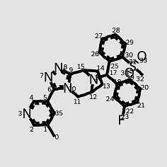 Cc1cncc(-c2nnc3n2CC2CCC3N2C(c2cccc(F)c2)c2ccccc2S(C)(=O)=O)c1